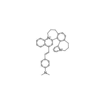 CN(C)c1ccc(/C=C/c2cc3[n+](c4ccccc24)CCCc2ccc4c(c2-3)-c2cccc[n+]2CCC4)cc1